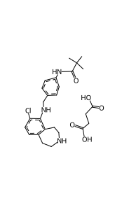 CC(C)(C)C(=O)Nc1ccc(CNc2c(Cl)ccc3c2CCNCC3)cc1.O=C(O)CCC(=O)O